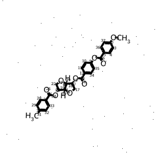 COc1ccc(C(=O)Oc2ccc(C(=O)O[C@H]3CO[C@H]4[C@@H]3OC[C@H]4OC(=O)c3ccc(C)cc3)cc2)cc1